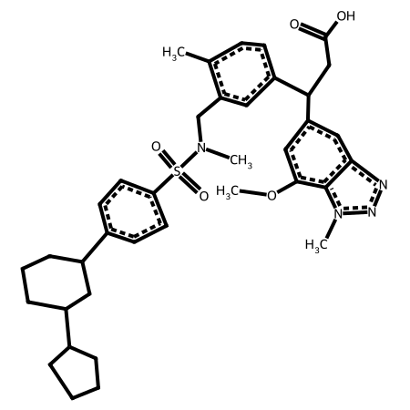 COc1cc(C(CC(=O)O)c2ccc(C)c(CN(C)S(=O)(=O)c3ccc(C4CCCC(C5CCCC5)C4)cc3)c2)cc2nnn(C)c12